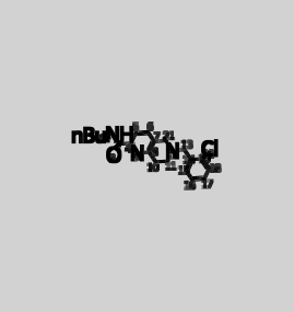 CCCCNC(=O)c1ccc2c(n1)CCN(Cc1ccccc1Cl)C2